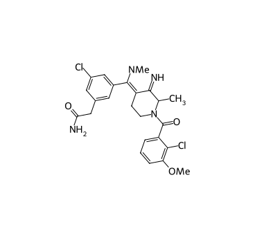 CN/C(=C1/CCN(C(=O)c2cccc(OC)c2Cl)C(C)C1=N)c1cc(Cl)cc(CC(N)=O)c1